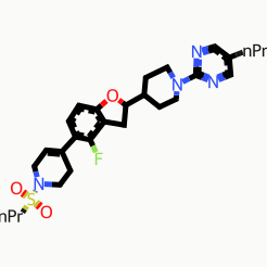 CCCc1cnc(N2CCC(C3Cc4c(ccc(C5=CCN(S(=O)(=O)CCC)CC5)c4F)O3)CC2)nc1